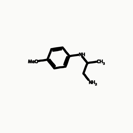 COc1ccc(NC(C)CN)cc1